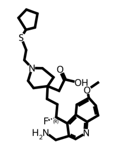 COc1ccc2ncc(CN)c([C@H](F)CCC3(CC(=O)O)CCN(CCSC4CCCC4)CC3)c2c1